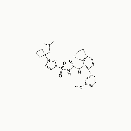 COc1cc(-c2ccc3c(c2NC(=O)NS(=O)(=O)c2ccn(C4(CN(C)C)CCC4)n2)CCC3)ccn1